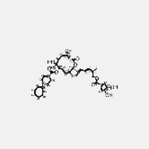 C/C(=C\C=C\[C@@H](C)COC(=O)N1C[C@H](O)[C@@H](O)C1)[C@H]1OC(=O)C[C@H](O)CC[C@@](C)(O)[C@@H](OC(=O)N2CCN(C3CCCCCC3)CC2)/C=C/[C@@H]1C